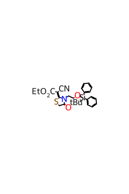 CCOC(=O)C(C#N)=C1SCC(=O)N1CCO[Si](c1ccccc1)(c1ccccc1)C(C)(C)C